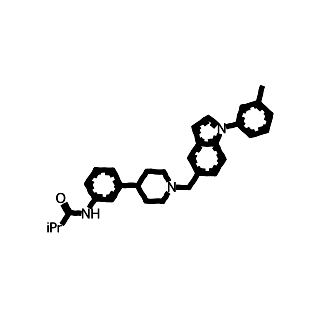 Cc1cccc(-n2ccc3cc(CN4CCC(c5cccc(NC(=O)C(C)C)c5)CC4)ccc32)c1